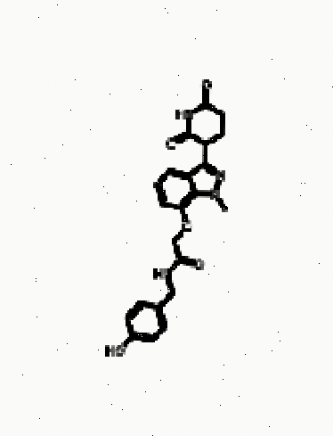 Cn1nc(C2CCC(=O)NC2=O)c2cccc(OCC(=O)NCc3ccc(O)cc3)c21